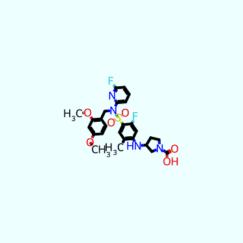 COc1ccc(CN(c2cccc(F)n2)S(=O)(=O)c2cc(C)c(NC3CCN(C(=O)O)C3)cc2F)c(OC)c1